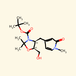 Cn1ccc(C[C@H]2[C@@H](CO)OC(C)(C)N2C(=O)OC(C)(C)C)cc1=O